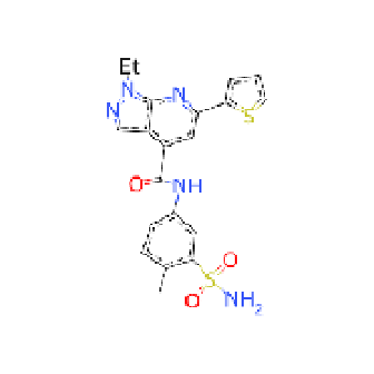 CCn1ncc2c(C(=O)Nc3ccc(C)c(S(N)(=O)=O)c3)cc(-c3cccs3)nc21